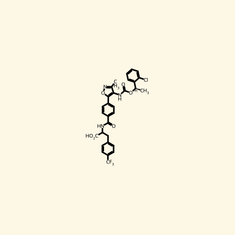 Cc1noc(-c2ccc(C(=O)NC(Cc3ccc(C(F)(F)F)cc3)C(=O)O)cc2)c1NC(=O)O[C@H](C)c1ccccc1Cl